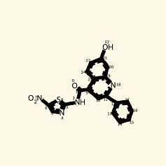 O=C(Nc1ncc([N+](=O)[O-])s1)c1cc(-c2ccccc2)nc2cc(O)ccc12